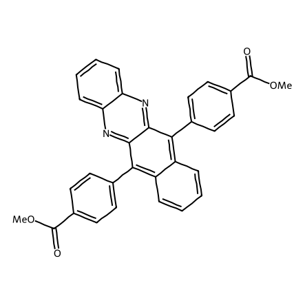 COC(=O)c1ccc(-c2c3ccccc3c(-c3ccc(C(=O)OC)cc3)c3nc4ccccc4nc23)cc1